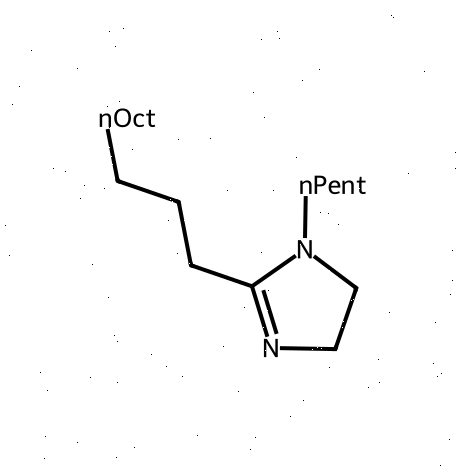 CCCCCCCCCCCC1=NCCN1CCCCC